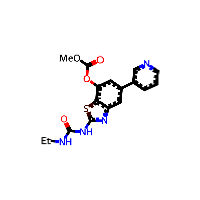 CCNC(=O)Nc1nc2cc(-c3cccnc3)cc(OC(=O)OC)c2s1